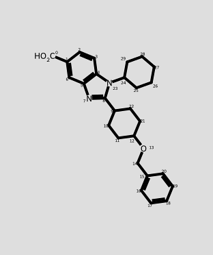 O=C(O)c1ccc2c(c1)nc(C1CCC(OCc3ccccc3)CC1)n2C1CCCCC1